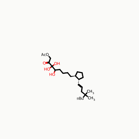 CCCCC(C)(C)CC=C[C@H]1CCC[C@@H]1CCCCC(O)C(O)(O)C(=O)COC(C)=O